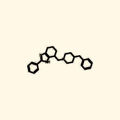 c1ccc(CC2CCN(CC3CCCc4nc(-c5ccccc5)[nH]c43)CC2)cc1